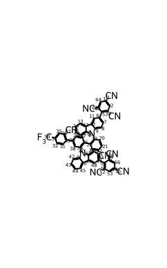 N#Cc1cc(C#N)c(-c2ccc3c(c2)c2ccccc2n3-c2ccc(C#N)cc2-c2ccc(-c3ccc(C(F)(F)F)cc3C(F)(F)F)cc2-n2c3ccccc3c3cc(-c4c(C#N)cc(C#N)cc4C#N)ccc32)c(C#N)c1